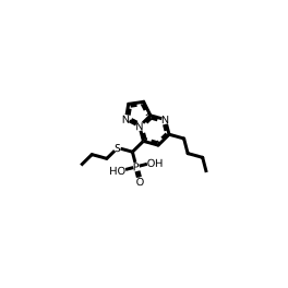 CCCCc1cc(C(SCCC)P(=O)(O)O)n2nccc2n1